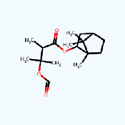 CC(C(=O)OC1CC2CCC1(C)C2(C)C)C(C)(C)O[C]=O